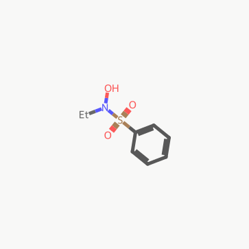 CCN(O)S(=O)(=O)c1ccccc1